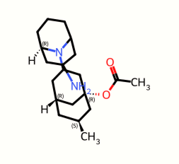 CC(=O)O[C@]12CC(N3C4CCC[C@@H]3CC(N)C4)C[C@@H](C[C@H](C)C1)C2